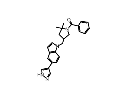 CC1(C)CC(Cn2ccc3cc(-c4cn[nH]c4)ccc32)CN1C(=O)c1ccccc1